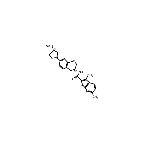 CO[C@H]1CCN(c2ccc3c(c2)OC[C@H](NC(=O)c2sc4nc(C)ccc4c2N)C3)C1